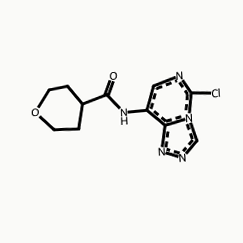 O=C(Nc1cnc(Cl)n2cnnc12)C1CCOCC1